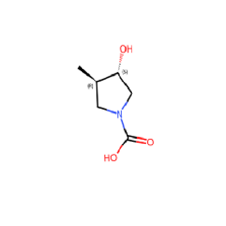 C[C@@H]1CN(C(=O)O)C[C@H]1O